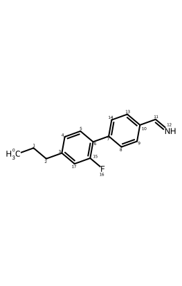 CCCc1ccc(-c2ccc(C=N)cc2)c(F)c1